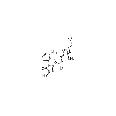 CC/C(=N/N=C(C)\C(C)=N/OCC1CC1)OCc1c(C)cccc1-n1nnn(C)c1=O